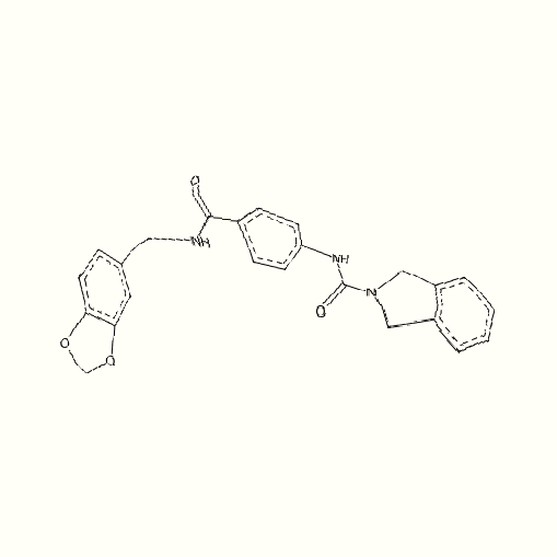 O=C(NCc1ccc2c(c1)OCO2)c1ccc(NC(=O)N2Cc3ccccc3C2)cc1